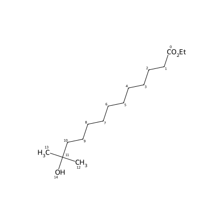 CCOC(=O)CCCCCCCCCCC(C)(C)O